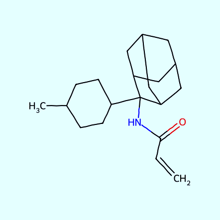 C=CC(=O)NC1(C2CCC(C)CC2)C2CC3CC(C2)CC1C3